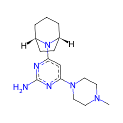 CN1CCN(c2cc(N3[C@@H]4CCC[C@H]3CC4)nc(N)n2)CC1